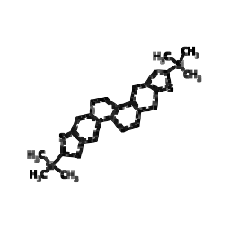 C[Si](C)(C)c1cc2cc3c(ccc4c5cc6cc([Si](C)(C)C)sc6cc5ccc34)cc2s1